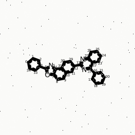 c1ccc(-c2nc3c(ccc4cc(-c5nc(-c6ccccc6)c6ccccc6n5)ccc43)o2)cc1